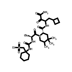 CCS(=O)(=O)CC1(NC(=O)N[C@H](C(=O)N2CC(C)C(C)(C)C[C@H]2C(=O)NC(CC2CCC2)C(=O)C(N)=O)C(C)(C)C)CCCCC1